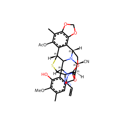 C=CCN1[C@@H]2c3c(cc(C)c(OC)c3O)C[C@@H]1[C@H](C#N)N1C2[C@@H]2SCC(N)C(=O)OC[C@H]1c1c3c(c(C)c(OC(C)=O)c12)OCO3